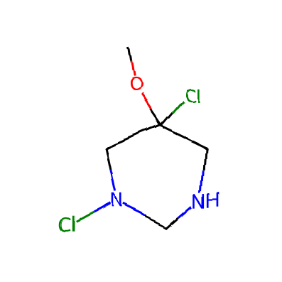 COC1(Cl)CNCN(Cl)C1